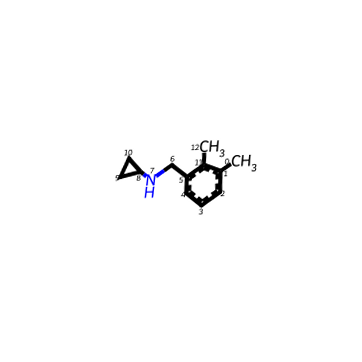 Cc1cccc(CNC2CC2)c1C